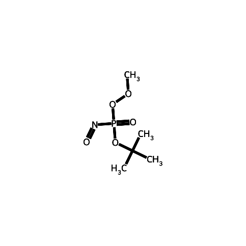 COOP(=O)(N=O)OC(C)(C)C